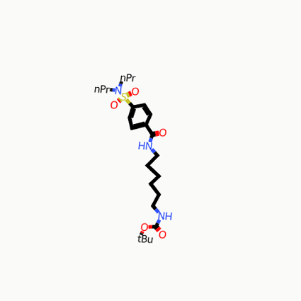 CCCN(CCC)S(=O)(=O)c1ccc(C(=O)NCCCCCCNC(=O)OC(C)(C)C)cc1